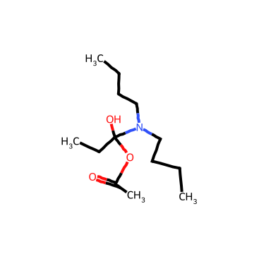 CCCCN(CCCC)C(O)(CC)OC(C)=O